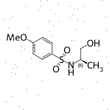 COc1ccc(S(=O)(=O)N[C@H](C)CO)cc1